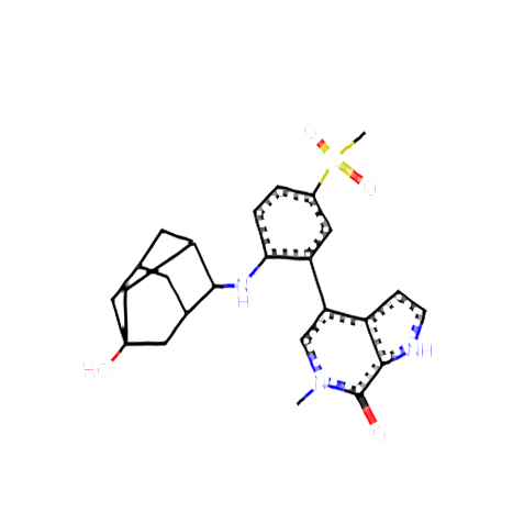 Cn1cc(-c2cc(S(C)(=O)=O)ccc2NC2C3CC4CC2CC(O)(C4)C3)c2cc[nH]c2c1=O